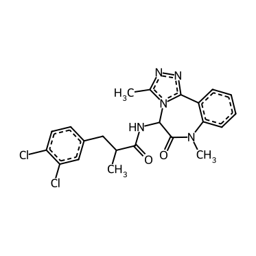 Cc1nnc2n1C(NC(=O)C(C)Cc1ccc(Cl)c(Cl)c1)C(=O)N(C)c1ccccc1-2